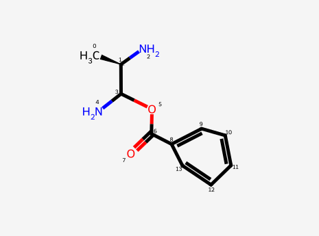 C[C@@H](N)C(N)OC(=O)c1ccccc1